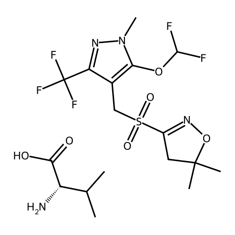 CC(C)[C@H](N)C(=O)O.Cn1nc(C(F)(F)F)c(CS(=O)(=O)C2=NOC(C)(C)C2)c1OC(F)F